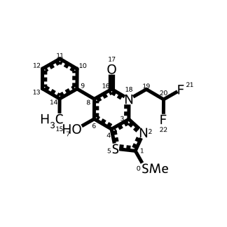 CSc1nc2c(s1)c(O)c(-c1ccccc1C)c(=O)n2CC(F)F